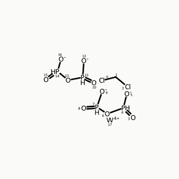 ClCCl.O=[PH]([O-])O[PH](=O)[O-].O=[PH]([O-])O[PH](=O)[O-].[W+4]